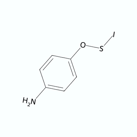 Nc1ccc(OSI)cc1